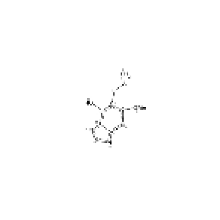 C=CCn1c(OC)nc2ncnc-2c1O